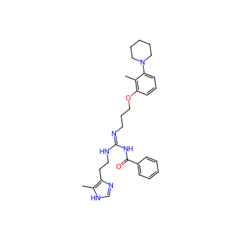 Cc1[nH]cnc1CCNC(=NCCCOc1cccc(N2CCCCC2)c1C)NC(=O)c1ccccc1